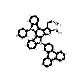 C=Nc1sc2c(c1/C=N\C)c1c3ccccc3n(-c3ccccc3)c1c1c3ccccc3n(-c3ccc4c5ccccc5c5ccccc5c4c3)c21